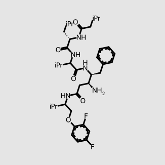 CC(C)CC(=O)N[C@@H](CC(C)C)C(=O)NC(C(=O)N[C@@H](Cc1ccccc1)[C@@H](N)CC(=O)NC(COc1ccc(F)cc1F)C(C)C)C(C)C